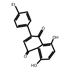 CCc1ccc(C2=CC(=O)c3c(O)ccc(O)c3C2=O)cc1